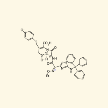 CCO/N=C(\C(=O)N[C@@H]1C(=O)N2C(C(=O)O)=C(CSc3cc[n+]([O-])cc3)C[S+]([O-])[C@H]12)c1csc(NC(c2ccccc2)(c2ccccc2)c2ccccc2)n1